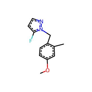 COc1ccc(Cn2nccc2F)c(C)c1